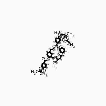 C=CC(=O)OC(C)(C)CC(C)(C)Oc1ccc(C(=O)OCCc2ccc(OC(=O)c3ccc(OC(C)(C)C)cc3)c(/C=N/C(CC)Cc3nc4ccccc4s3)c2)cc1